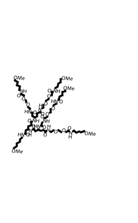 COCCCCCCNC(=O)CC(CCC(=O)NC(CCC(=O)NCCOCCOCC(=O)NCCCCCOC)CC(=O)NCCOCCOCC(=O)NCCCCCOC)NC(=O)CC(CCC(=O)NCCOCCOCC(=O)NCCCCCOC)NC(=O)CNC(=O)COCCOCCNC(=O)CCCCOC